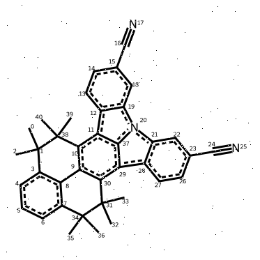 CC1(C)c2cccc3c2-c2c(c4c5ccc(C#N)cc5n5c6cc(C#N)ccc6c(c2C(C)(C)C3(C)C)c45)C1(C)C